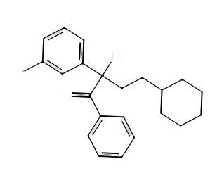 O=C(c1ccccc1)C(Br)(CCC1CCCCC1)c1cccc(Cl)c1